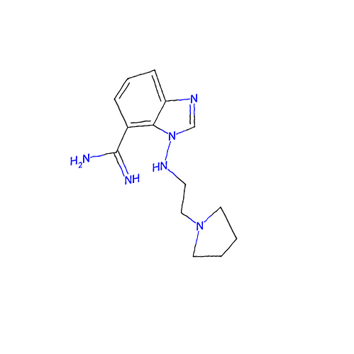 N=C(N)c1cccc2ncn(NCCN3CCCC3)c12